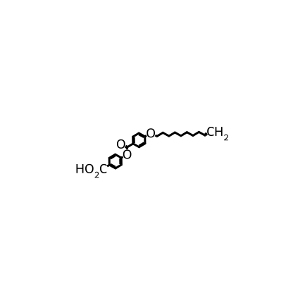 C=CCCCCCCCCOc1ccc(C(=O)Oc2ccc(C(=O)O)cc2)cc1